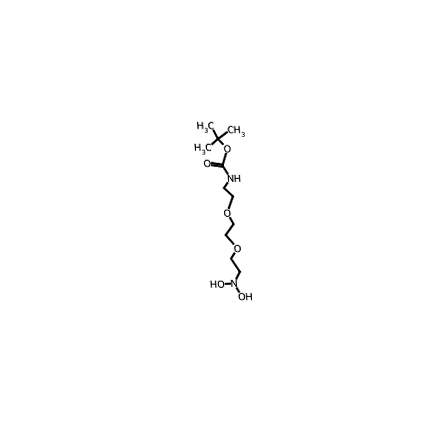 CC(C)(C)OC(=O)NCCOCCOCCN(O)O